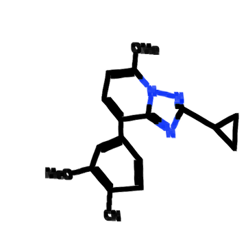 COc1cc(-c2ccc(OC)n3nc(C4CC4)nc23)ccc1C#N